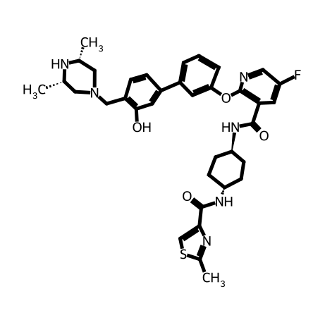 Cc1nc(C(=O)N[C@H]2CC[C@H](NC(=O)c3cc(F)cnc3Oc3cccc(-c4ccc(CN5C[C@@H](C)N[C@@H](C)C5)c(O)c4)c3)CC2)cs1